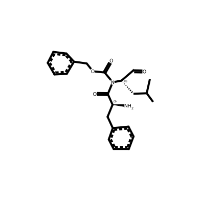 CC(C)C[C@@H]([C]=O)N(C(=O)OCc1ccccc1)C(=O)[C@@H](N)Cc1ccccc1